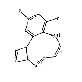 Fc1cc(F)c2c(c1)C1C=CC1/N=C/C=C\N2